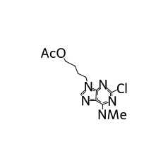 CNc1nc(Cl)nc2c1ncn2CCCCOC(C)=O